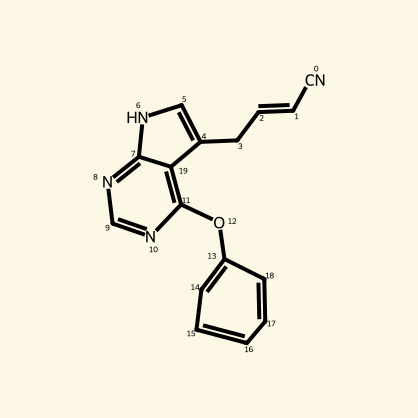 N#CC=CCc1c[nH]c2ncnc(Oc3ccccc3)c12